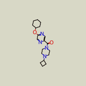 O=C(c1cnc(OC2CCCCC2)cn1)N1CCN(C2CCC2)CC1